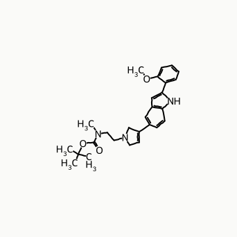 COc1ccccc1-c1cc2cc(C3=CCN(CCN(C)C(=O)OC(C)(C)C)C3)ccc2[nH]1